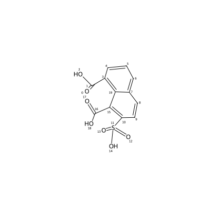 O=C(O)c1cccc2ccc(S(=O)(=O)O)c(C(=O)O)c12